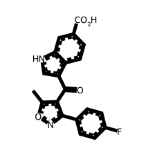 Cc1onc(-c2ccc(F)cc2)c1C(=O)c1c[nH]c2cc(C(=O)O)ccc12